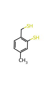 Cc1ccc(CS)c(S)c1